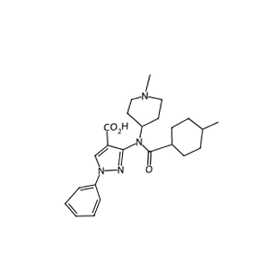 CC1CCC(C(=O)N(c2nn(-c3ccccc3)cc2C(=O)O)C2CCN(C)CC2)CC1